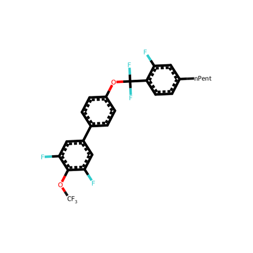 CCCCCc1ccc(C(F)(F)Oc2ccc(-c3cc(F)c(OC(F)(F)F)c(F)c3)cc2)c(F)c1